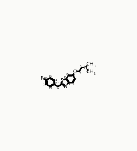 CN(C)CCOc1ccc2nc(Cc3ccc(F)cc3)sc2c1